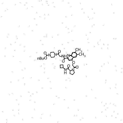 CCCCOC(=O)N1CCN(C(=O)CNC(=O)c2cc(OCC(=O)N3CCCC3C(=O)NC3CCC3)c3cc(C)c(C)cc3n2)CC1